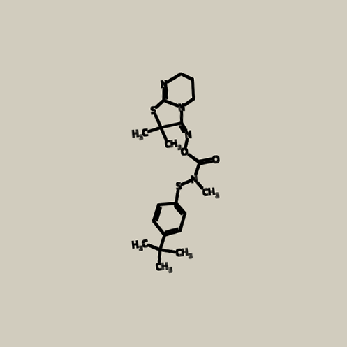 CN(Sc1ccc(C(C)(C)C)cc1)C(=O)ON=C1N2CCCN=C2SC1(C)C